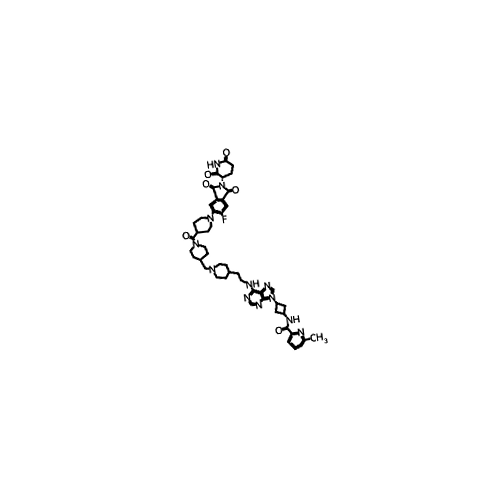 Cc1cccc(C(=O)NC2CC(n3cnc4c(NCCC5CCN(CC6CCN(C(=O)C7CCN(c8cc9c(cc8F)C(=O)N([C@H]8CCC(=O)NC8=O)C9=O)CC7)CC6)CC5)ncnc43)C2)n1